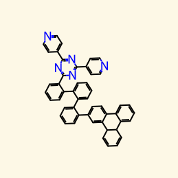 C1=CC2c3ccccc3-c3ccc(-c4ccccc4-c4ccccc4-c4ccccc4-c4nc(-c5ccncc5)nc(-c5ccncc5)n4)cc3C2C=C1